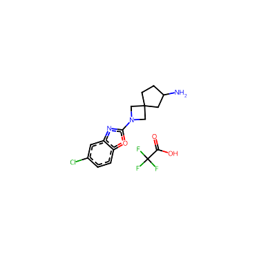 NC1CCC2(C1)CN(c1nc3cc(Cl)ccc3o1)C2.O=C(O)C(F)(F)F